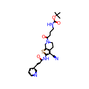 CC(C)(C)OC(=O)NCCCC(=O)N1CCc2c(sc(NC(=O)C=Cc3cccnc3)c2C#N)C1